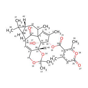 CC1=CC23C(=O)[C@@H](C=C4COC(C)(C)O[C@H]4[C@]2(O)[C@H]1OC(=O)c1c(C)cc(=O)oc1C)[C@@H]1[C@@H](CC3C)C1(C)C